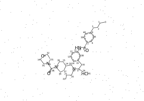 CCCCc1ccc(C(=O)Nc2cccc(CC(C)N(CCC)CC3CCN(C(=O)N4CCOCC4)CC3)c2)cc1.Cl